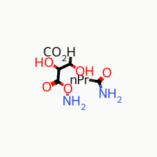 CCCC(N)=O.NOC(=O)C(O)C(O)C(=O)O